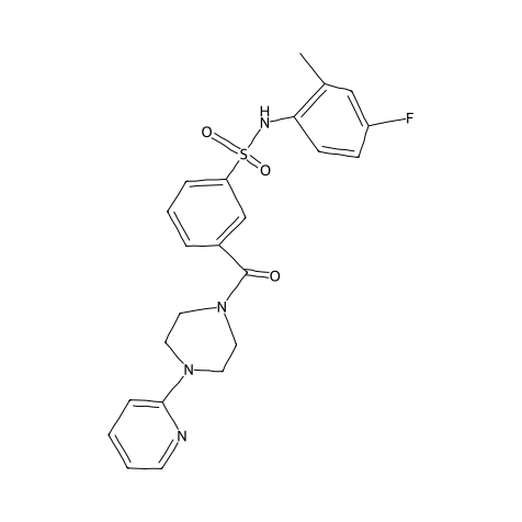 Cc1cc(F)ccc1NS(=O)(=O)c1cccc(C(=O)N2CCN(c3ccccn3)CC2)c1